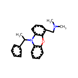 CC(c1ccccc1)N1c2ccccc2Oc2c(CN(C)C)cccc21